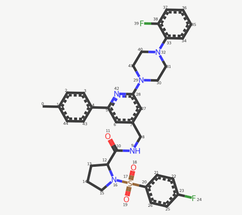 Cc1ccc(-c2cc(CNC(=O)C3CCCN3S(=O)(=O)c3ccc(F)cc3)cc(N3CCN(c4ccccc4F)CC3)n2)cc1